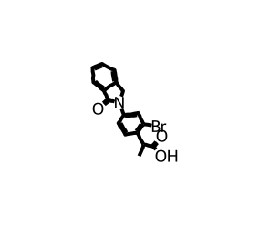 CC(C(=O)O)c1ccc(N2Cc3ccccc3C2=O)cc1Br